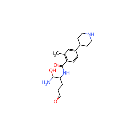 Cc1cc(C2CCNCC2)ccc1C(=O)NC(CCC=O)C(N)O